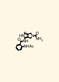 CC(=O)Nc1ccccc1C(=O)Nc1[nH]nc2c1CN(C(N)=O)C2